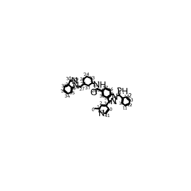 Cc1cc(-c2nn(C(P)c3ccccc3)c3ccc(C(=O)NC4CCCC(Cn5ncc6ccccc65)C4)cc23)ccn1